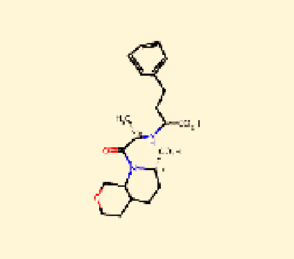 C[C@H](NC(CCc1ccccc1)C(=O)O)C(=O)N1C2COCCC2CC[C@H]1C(=O)O